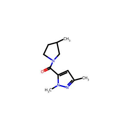 Cc1cc(C(=O)N2CCC(C)C2)n(C)n1